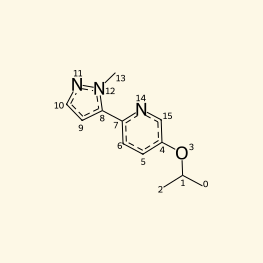 CC(C)Oc1ccc(-c2ccnn2C)nc1